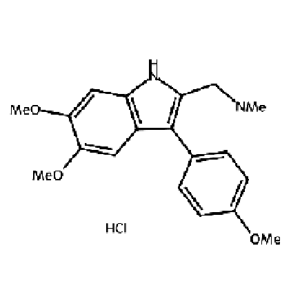 CNCc1[nH]c2cc(OC)c(OC)cc2c1-c1ccc(OC)cc1.Cl